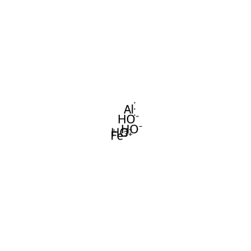 [Al].[Fe+3].[OH-].[OH-].[OH-]